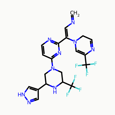 C=N/C=C(/c1nccc(N2CC(c3cn[nH]c3)NC(C(F)(F)F)C2)n1)N1C=C(C(F)(F)F)N=CC1